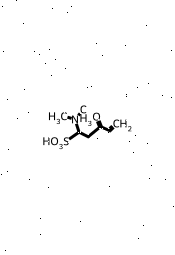 C=CC(=O)CC(N(C)C)S(=O)(=O)O